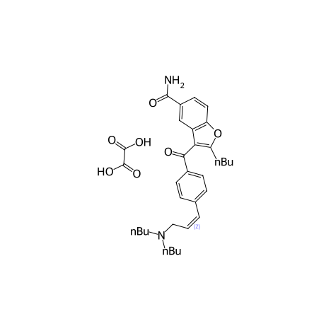 CCCCc1oc2ccc(C(N)=O)cc2c1C(=O)c1ccc(/C=C\CN(CCCC)CCCC)cc1.O=C(O)C(=O)O